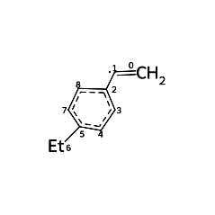 C=[C]c1ccc(CC)cc1